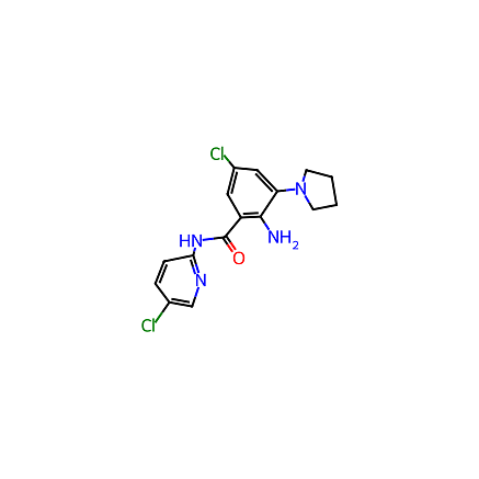 Nc1c(C(=O)Nc2ccc(Cl)cn2)cc(Cl)cc1N1CCCC1